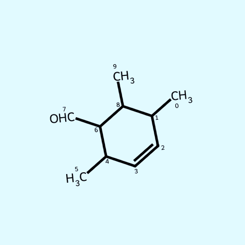 CC1C=CC(C)C(C=O)C1C